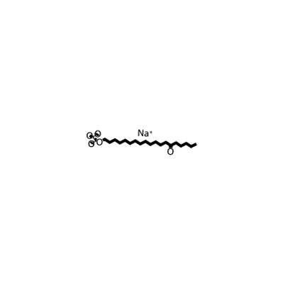 CCCCCC(=O)CCCCCCCCCCCCCOS(=O)(=O)[O-].[Na+]